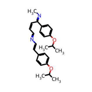 C\N=C(/C=C\C=N\C=C\c1ccc(OC(C)C)cc1)c1ccc(OC(C)C)cc1